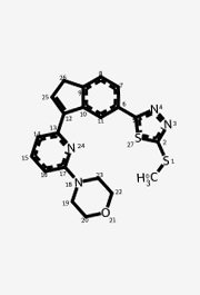 CSc1nnc(-c2ccc3c(c2)C(c2cccc(N4CCOCC4)n2)=CC3)s1